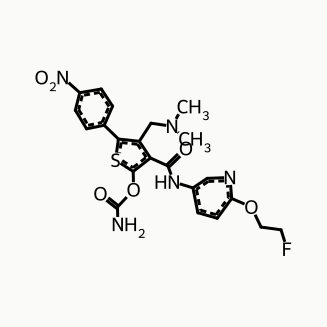 CN(C)Cc1c(-c2ccc([N+](=O)[O-])cc2)sc(OC(N)=O)c1C(=O)Nc1ccc(OCCF)nc1